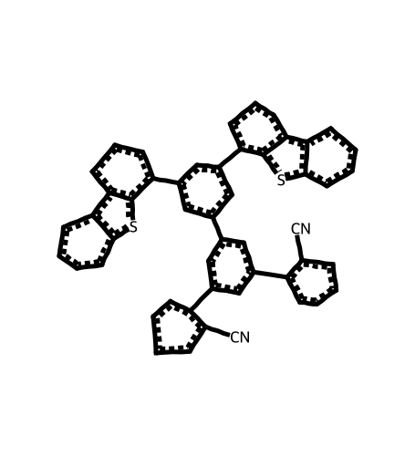 N#Cc1ccccc1-c1cc(-c2cc(-c3cccc4c3sc3ccccc34)cc(-c3cccc4c3sc3ccccc34)c2)cc(-c2ccccc2C#N)c1